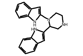 c1ccc2[nH]c(C3CNCCN3c3cc4ccccc4[nH]3)cc2c1